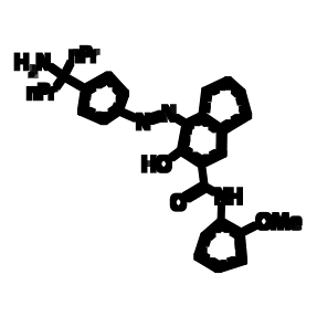 CCCC(N)(CCC)c1ccc(N=Nc2c(O)c(C(=O)Nc3ccccc3OC)cc3ccccc23)cc1